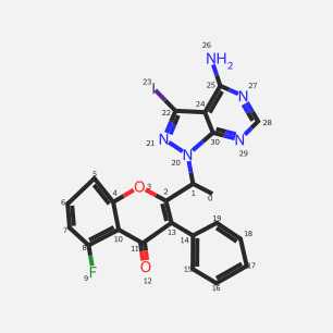 CC(c1oc2cccc(F)c2c(=O)c1-c1ccccc1)n1nc(I)c2c(N)ncnc21